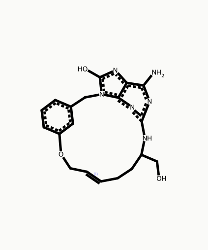 Nc1nc2nc3c1nc(O)n3Cc1cccc(c1)OC/C=C/CCC(CO)N2